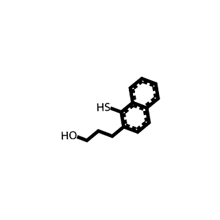 OCCCc1ccc2ccccc2c1S